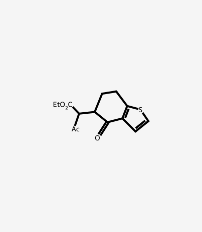 CCOC(=O)C(C(C)=O)C1CCc2sccc2C1=O